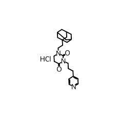 Cl.O=C1CCN(CCC23CC4CC(CC(C4)C2)C3)C(=O)N1CCCc1ccncc1